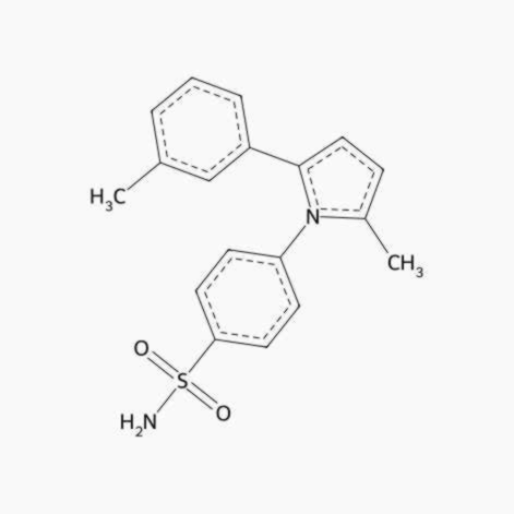 Cc1cccc(-c2ccc(C)n2-c2ccc(S(N)(=O)=O)cc2)c1